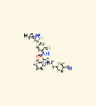 Cn1cc(-c2ccc(NC(=O)C(CNCCc3ccc(C#N)cc3)c3ccccc3)c(Cl)c2)cn1